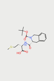 CSCC[C@H](NC(=O)[C@H]1Cc2ccccc2CN1C(=O)OC(C)(C)C)C(=O)O